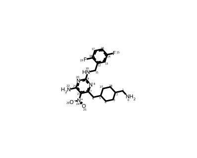 NCC1CCC(Cc2nc(NCc3cc(F)ccc3F)nc(N)c2[N+](=O)[O-])CC1